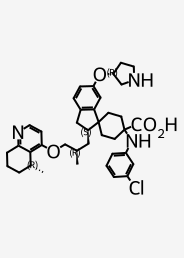 C[C@@H](COc1ccnc2c1[C@H](C)CCC2)C[C@H]1Cc2ccc(O[C@@H]3CCNC3)cc2C12CCC(Nc1cccc(Cl)c1)(C(=O)O)CC2